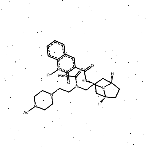 COC(=O)N(CCN1CCN(C(C)=O)CC1)CCN1[C@@H]2CC[C@H]1C[C@H](NC(=O)c1cc3ccccc3n(C(C)C)c1=O)C2